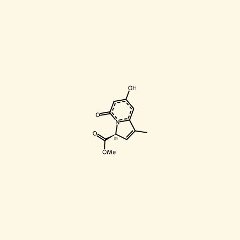 COC(=O)[C@@H]1C=C(C)c2cc(O)cc(=O)n21